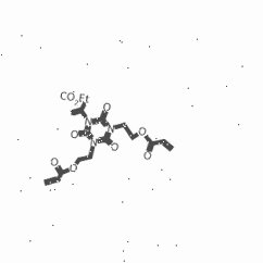 C=CC(=O)OCCn1c(=O)n(CCOC(=O)C=C)c(=O)n(C(=C)C(=O)OCC)c1=O